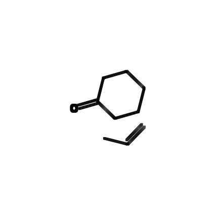 C=CC.O=C1CCCCC1